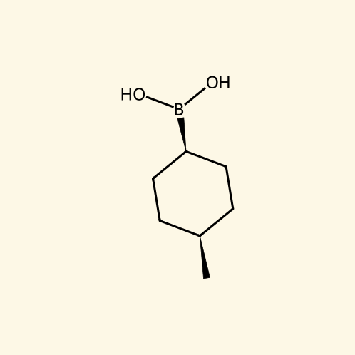 C[C@H]1CC[C@@H](B(O)O)CC1